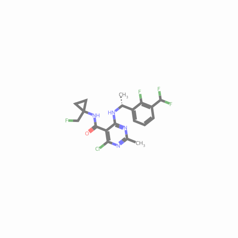 Cc1nc(Cl)c(C(=O)NC2(CF)CC2)c(N[C@H](C)c2cccc(C(F)F)c2F)n1